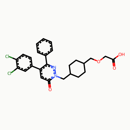 O=C(O)COCC1CCC(Cn2nc(-c3ccccc3)c(-c3ccc(Cl)c(Cl)c3)cc2=O)CC1